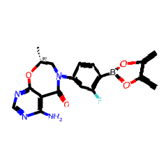 C=C1OB(c2ccc(N3C[C@@H](C)Oc4ncnc(N)c4C3=O)cc2F)OC1=C